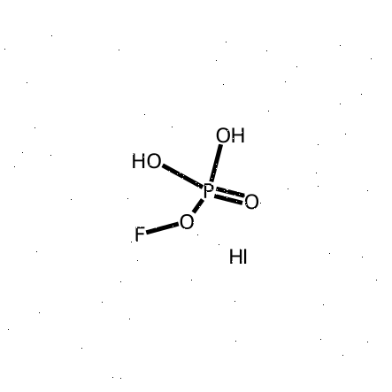 I.O=P(O)(O)OF